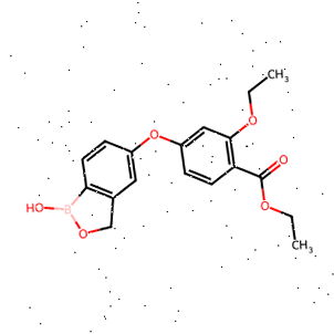 CCOC(=O)c1ccc(Oc2ccc3c(c2)COB3O)cc1OCC